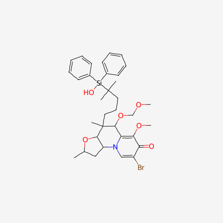 COCOC1c2c(OC)c(=O)c(Br)cn2C2CC(C)OC2C1(C)CCCC(C)(C)[Si](O)(c1ccccc1)c1ccccc1